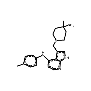 Cc1ccc(Nc2ncnc3[nH]cc(CN4CCC(C)(N)CC4)c23)cc1